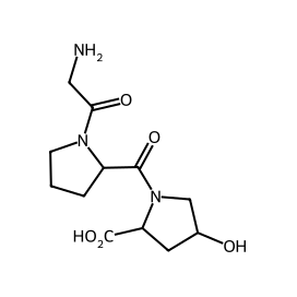 NCC(=O)N1CCCC1C(=O)N1CC(O)CC1C(=O)O